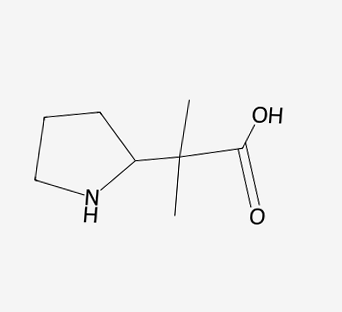 CC(C)(C(=O)O)C1CCCN1